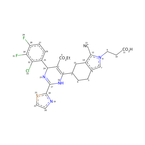 CCOC(=O)C1=C(C2CCc3cn(CCC(=O)O)c(C#N)c3C2)NC(c2nccs2)=NC1c1ccc(F)c(F)c1Cl